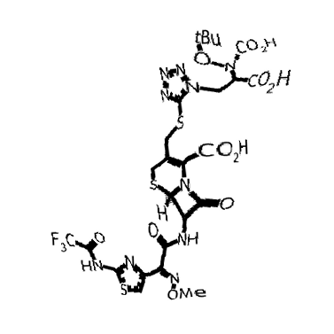 CON=C(C(=O)NC1C(=O)N2C(C(=O)O)=C(CSc3nnnn3CC(C(=O)O)N(OC(C)(C)C)C(=O)O)CS[C@@H]12)c1csc(NC(=O)C(F)(F)F)n1